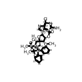 CO[C@H]1[C@@H](OC(C)=O)[C@H](n2cnc3c(Cl)nc(N)nc32)O[C@@]1(CO[Si](c1ccccc1)(c1ccccc1)C(C)(C)C)[C@@H](C)OS(C)(=O)=O